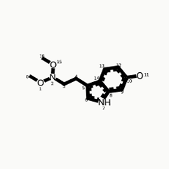 CON(CCc1c[nH]c2cc([O])ccc12)OC